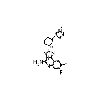 Cn1cc(N2CCC[C@@H](c3nc4c5cc(F)c(F)cc5nc(N)n4n3)C2)cn1